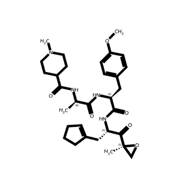 COc1ccc(C[C@H](NC(=O)[C@@H](C)NC(=O)C2CCN(C)CC2)C(=O)N[C@@H](CC2=CCCC2)C(=O)[C@]2(C)CO2)cc1